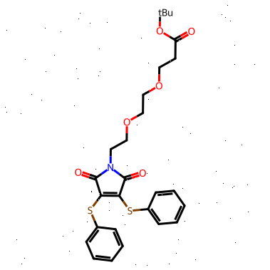 CC(C)(C)OC(=O)CCOCCOCCN1C(=O)C(Sc2ccccc2)=C(Sc2ccccc2)C1=O